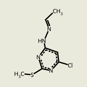 C/C=N/Nc1cc(Cl)nc(SC)n1